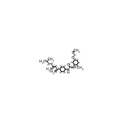 COCOc1ccc(C)c(NC(=O)Nc2ccc(N(N)/C=C(\N)CCC(C)C)cc2)c1